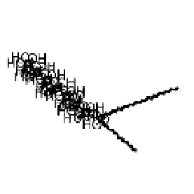 CCCCCCCCCCCCC/C=C/[C@@H](O)[C@H](CO[C@@H]1OC(CO)[C@@H](O[C@@H]2OC(CO)[C@H](O[C@@H]3OC(CO)[C@H](O)[C@H](O[C@H]4OC(CO)[C@H](O)[C@H](O[C@H]5OC(CO)[C@H](O)[C@H](O[C@H]6OC(CO)[C@H](O)[C@H](O[C@H]7OC(CO)[C@H](O)[C@H](O)C7O)C6O)C5O)C4O)C3O)[C@H](O)C2O)[C@H](O)C1O)NC(=O)CCCCCCCCCCCCCCCCCCCCCCCCC